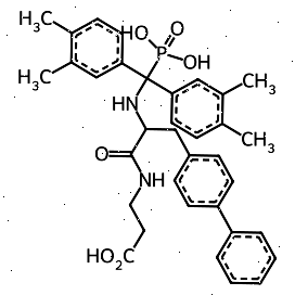 Cc1ccc(C(NC(Cc2ccc(-c3ccccc3)cc2)C(=O)NCCC(=O)O)(c2ccc(C)c(C)c2)P(=O)(O)O)cc1C